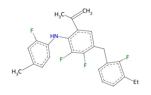 C=C(C)c1cc(Cc2cccc(CC)c2F)c(F)c(F)c1Nc1ccc(C)cc1F